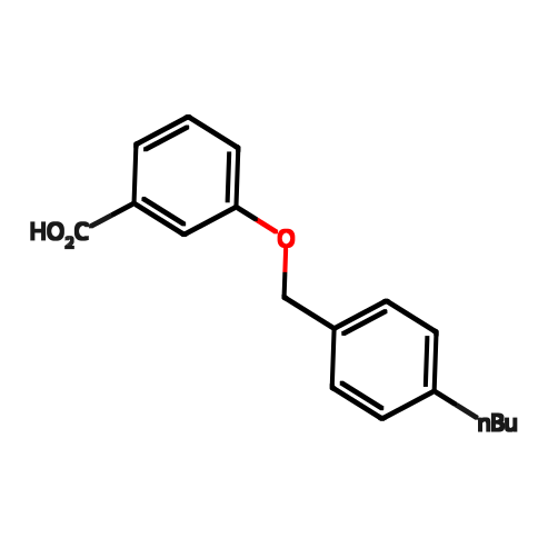 CCCCc1ccc(COc2cccc(C(=O)O)c2)cc1